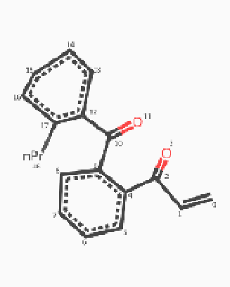 C=CC(=O)c1ccccc1C(=O)c1ccccc1CCC